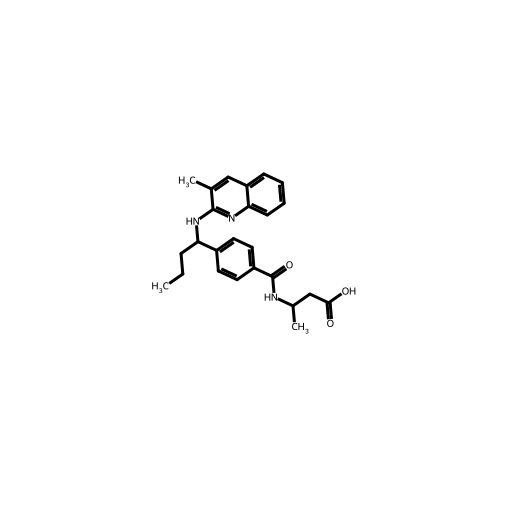 CCCC(Nc1nc2ccccc2cc1C)c1ccc(C(=O)NC(C)CC(=O)O)cc1